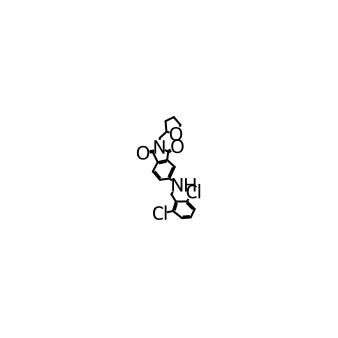 O=C1c2ccc(NCc3c(Cl)cccc3Cl)cc2C(=O)N1CC1CCCO1